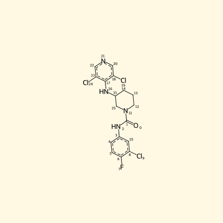 O=C(Nc1ccc(F)c(Cl)c1)N1CCCC(Nc2c(Cl)cncc2Cl)C1